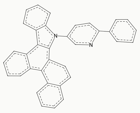 c1ccc(-c2ccc(-n3c4ccccc4c4c5ccccc5c5c6ccccc6ccc5c43)cn2)cc1